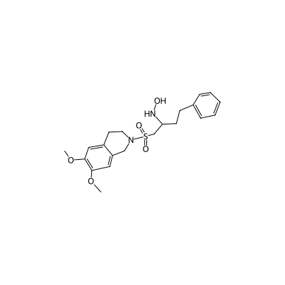 COc1cc2c(cc1OC)CN(S(=O)(=O)CC(CCc1ccccc1)NO)CC2